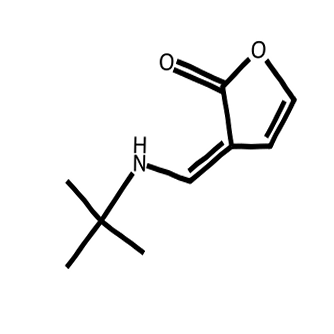 CC(C)(C)NC=C1C=COC1=O